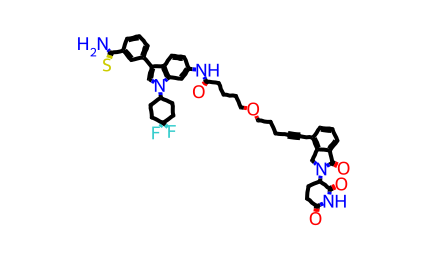 NC(=S)c1cccc(-c2cn(C3CCC(F)(F)CC3)c3cc(NC(=O)CCCCOCCCC#Cc4cccc5c4CN(C4CCC(=O)NC4=O)C5=O)ccc23)c1